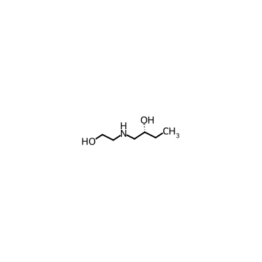 CC[C@@H](O)CNCCO